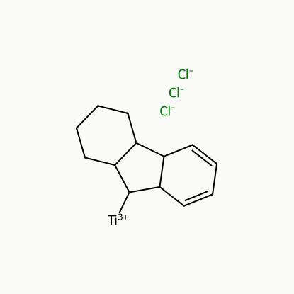 [Cl-].[Cl-].[Cl-].[Ti+3][CH]1C2C=CC=CC2C2CCCCC12